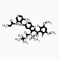 C=CC(=O)Nc1cncc(C)c1Nc1cc2c(N(C(=O)OC(C)(C)C)S(C)(=O)=O)c(C(=O)c3c(F)c(OC)cc(OC)c3F)oc2cn1